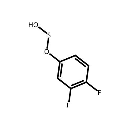 OSOc1ccc(F)c(F)c1